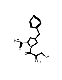 CC(CS)C(=O)N1CC(Cc2ccccc2)C[C@H]1C(=O)O